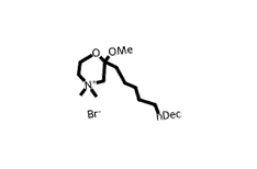 CCCCCCCCCCCCCCCC1(OC)C[N+](C)(C)CCO1.[Br-]